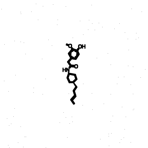 CC=CCC[C@H]1CC[C@H](NC(=O)Cc2ccc(O)c(OC)c2)CC1